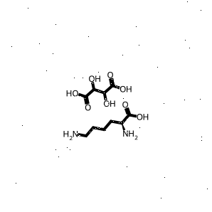 NCCCC[C@H](N)C(=O)O.O=C(O)C(O)C(O)C(=O)O